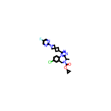 CC1c2nnc(C3CC4(C3)CN(c3ncc(F)cn3)C4)n2-c2ccc(Cl)cc2CN1C(=O)OC1CC1